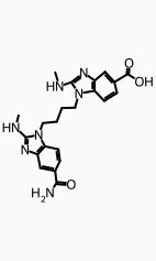 CNc1nc2cc(C(N)=O)ccc2n1CCCCn1c(NC)nc2cc(C(=O)O)ccc21